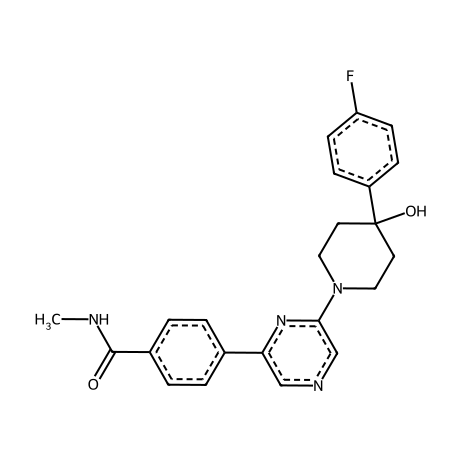 CNC(=O)c1ccc(-c2cncc(N3CCC(O)(c4ccc(F)cc4)CC3)n2)cc1